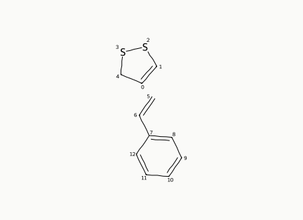 C1=CSSC1.C=Cc1ccccc1